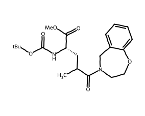 COC(=O)[C@H](CC(C)C(=O)N1CCOc2ccccc2C1)NC(=O)OC(C)(C)C